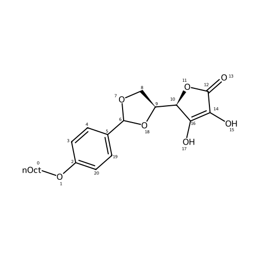 CCCCCCCCOc1ccc(C2OC[C@@H]([C@H]3OC(=O)C(O)=C3O)O2)cc1